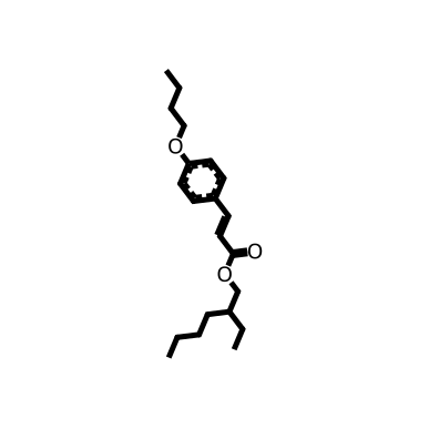 CCCCOc1ccc(C=CC(=O)OCC(CC)CCCC)cc1